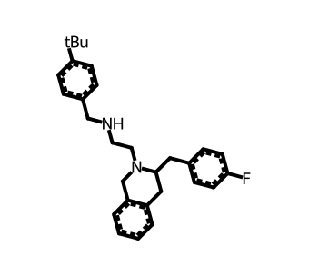 CC(C)(C)c1ccc(CNCCN2Cc3ccccc3CC2Cc2ccc(F)cc2)cc1